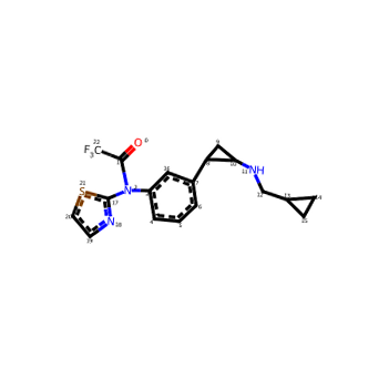 O=C(N(c1cccc(C2CC2NCC2CC2)c1)c1nccs1)C(F)(F)F